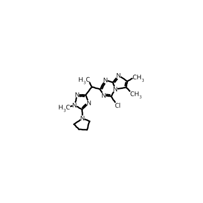 Cc1nc2nc(C(C)c3nc(N4CCCC4)n(C)n3)nc(Cl)n2c1C